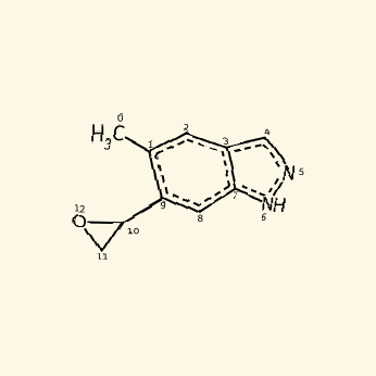 Cc1cc2cn[nH]c2cc1C1CO1